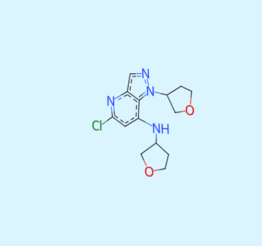 Clc1cc(NC2CCOC2)c2c(cnn2C2CCOC2)n1